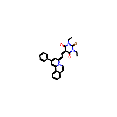 CCN1C(=O)C(=CC=C2C=C(c3ccccc3)C=C3c4ccccc4C=CN23)C(=O)N(CC)C1=S